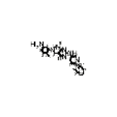 Cc1ccc(N)cc1N1Cc2cnc(Nc3ccc(N4CCOCC4)nc3)nc2N(C)C1